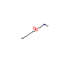 C=CCCCCCCCCC(=O)OCCCC/C=C\CC